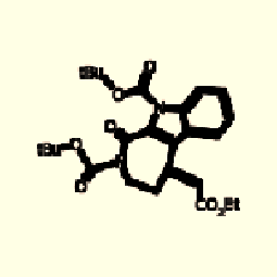 CCOC(=O)C=C1CCN(C(=O)OC(C)(C)C)C(=O)c2c1c1ccccc1n2C(=O)OC(C)(C)C